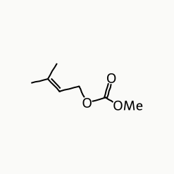 COC(=O)OCC=C(C)C